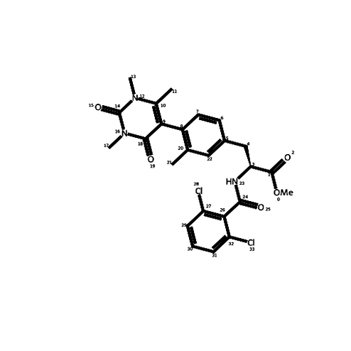 COC(=O)[C@H](Cc1ccc(-c2c(C)n(C)c(=O)n(C)c2=O)c(C)c1)NC(=O)c1c(Cl)cccc1Cl